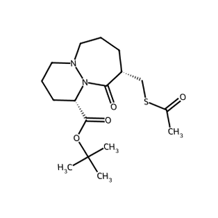 CC(=O)SC[C@H]1CCCN2CCC[C@@H](C(=O)OC(C)(C)C)N2C1=O